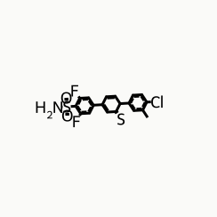 Cc1cc(C2C=CC(c3cc(F)c(S(N)(=O)=O)c(F)c3)=CC2=S)ccc1Cl